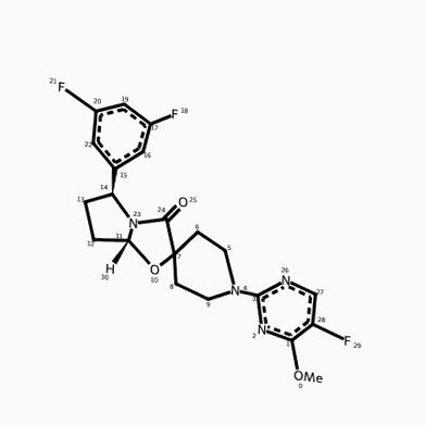 COc1nc(N2CCC3(CC2)O[C@@H]2CC[C@@H](c4cc(F)cc(F)c4)N2C3=O)ncc1F